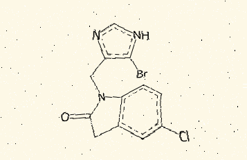 O=C1Cc2cc(Cl)ccc2N1Cc1nc[nH]c1Br